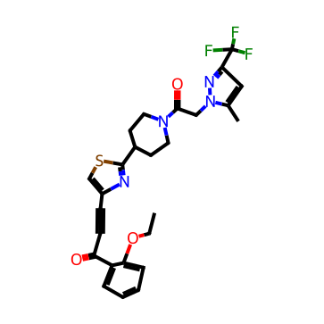 CCOc1ccccc1C(=O)C#Cc1csc(C2CCN(C(=O)Cn3nc(C(F)(F)F)cc3C)CC2)n1